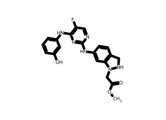 COC(=O)CN1NCc2ccc(Nc3ncc(F)c(Nc4cccc(O)c4)n3)cc21